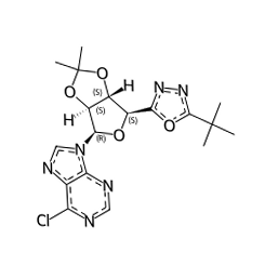 CC1(C)O[C@H]2[C@H](O1)[C@H](n1cnc3c(Cl)ncnc31)O[C@@H]2c1nnc(C(C)(C)C)o1